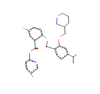 CC(C)c1ccc(C(=O)Nc2ccc(F)cc2C(=O)Nc2ccc(Cl)cn2)c(OCC2CCCNC2)c1.Cl